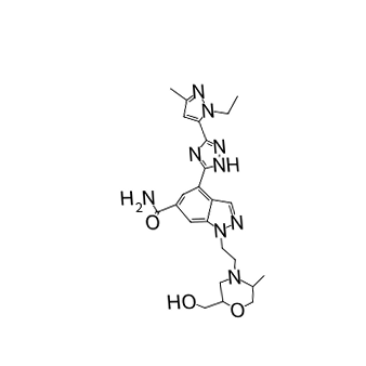 CCn1nc(C)cc1-c1n[nH]c(-c2cc(C(N)=O)cc3c2cnn3CCN2CC(CO)OCC2C)n1